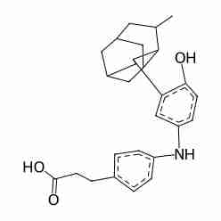 CC1CC2CC3CC(C2)C1C(c1cc(Nc2ccc(CCC(=O)O)cc2)ccc1O)C3